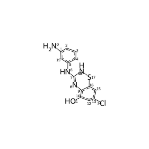 Nc1cccc(NC2=Nc3c(O)cc(Cl)cc3SN2)c1